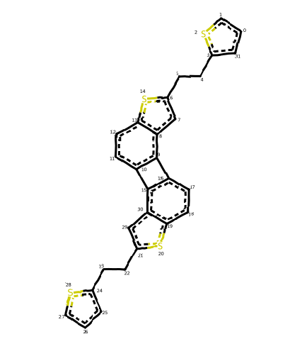 c1csc(CCc2cc3c4c(ccc3s2)-c2c-4ccc3sc(CCc4cccs4)cc23)c1